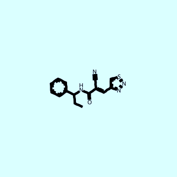 CCC(NC(=O)/C(C#N)=C/c1csnn1)c1ccccc1